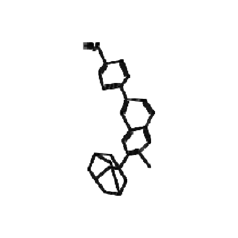 Cc1cc2ccc(-c3ccc(C(=O)O)cc3)cc2cc1C12CC3CC(CC(C3)C1)C2